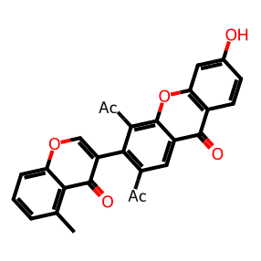 CC(=O)c1cc2c(=O)c3ccc(O)cc3oc2c(C(C)=O)c1-c1coc2cccc(C)c2c1=O